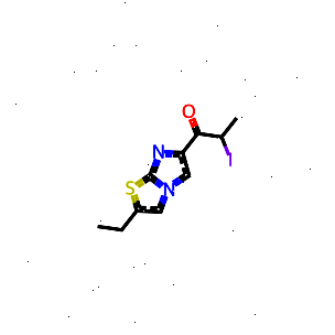 CCc1cn2cc(C(=O)C(C)I)nc2s1